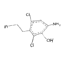 CC(C)CCc1c(Cl)cc(N)c(O)c1Cl